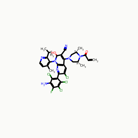 C=CC(=O)N1[C@H](C)CN(C2=C(C#N)C(O)N(c3c(C)ccnc3C(C)C)c3nc(-c4c(Cl)c(N)c(F)c(Cl)c4Cl)c(Cl)cc32)C[C@@H]1C